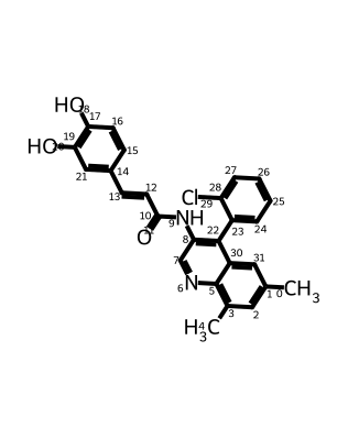 Cc1cc(C)c2ncc(NC(=O)C=Cc3ccc(O)c(O)c3)c(-c3ccccc3Cl)c2c1